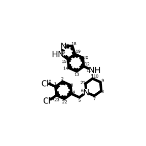 Clc1ccc(CN2CCC[C@@H](Nc3ccc4[nH]ncc4c3)C2)cc1Cl